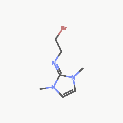 Cn1ccn(C)c1=NCCBr